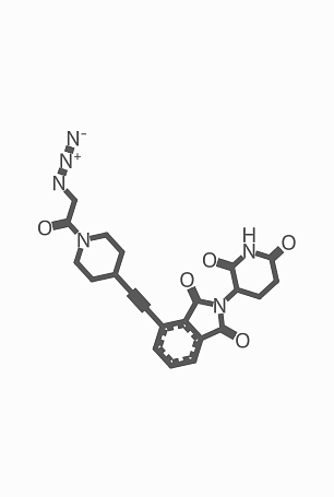 [N-]=[N+]=NCC(=O)N1CCC(C#Cc2cccc3c2C(=O)N(C2CCC(=O)NC2=O)C3=O)CC1